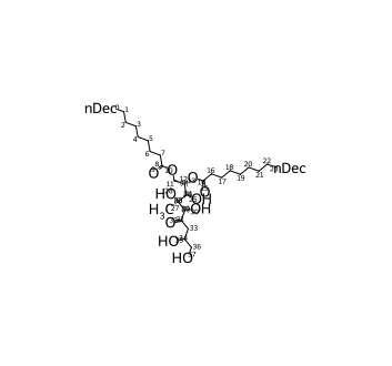 CCCCCCCCCCCCCCCCCC(=O)OC[C@@H](OC(=O)CCCCCCCCCCCCCCCCC)[C@@H](O)[C@](C)(O)[C@@H](O)C(=O)CC(O)CO